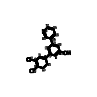 Oc1cc(C2=CC(Cl)=C(Cl)CC2)cc(-c2cccnc2)c1